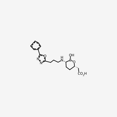 O=C(O)C[C@@H]1CC[C@H](NCCCc2nnc(-c3ccccc3)o2)B(O)O1